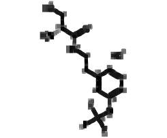 Cl.N[C@H](CO)C(=O)NCCc1cccc(OC(F)(F)F)c1